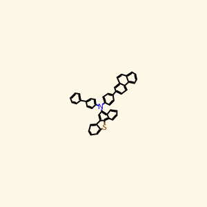 c1ccc(-c2ccc(N(c3ccc(-c4ccc5c(ccc6ccccc65)c4)cc3)c3cc4c5ccccc5sc4c4ccccc34)cc2)cc1